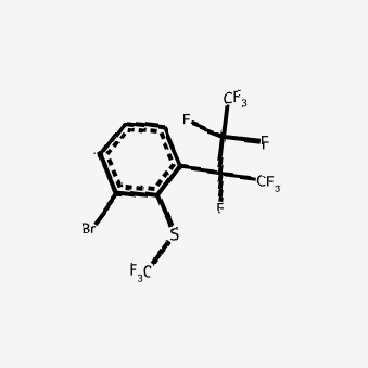 FC(F)(F)Sc1c(Br)[c]ccc1C(F)(C(F)(F)F)C(F)(F)C(F)(F)F